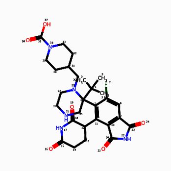 CC(C)(C)C1(c2c(F)cc3c(c2C2CCC(=O)NC2=O)C(=O)NC3=O)CNCCN1CC1CCN(C(=O)O)CC1